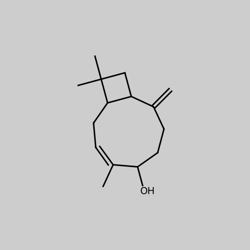 C=C1CCC(O)C(C)=CCC2C1CC2(C)C